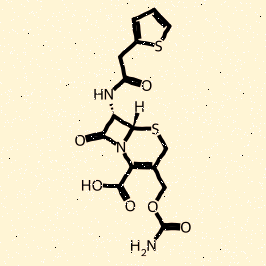 NC(=O)OCC1=C(C(=O)O)N2C(=O)[C@H](NC(=O)Cc3cccs3)[C@@H]2SC1